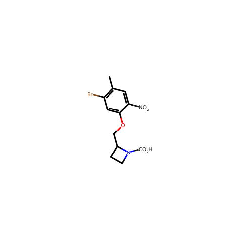 Cc1cc([N+](=O)[O-])c(OCC2CCN2C(=O)O)cc1Br